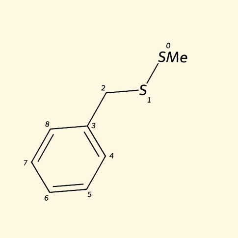 [C]SSCc1ccccc1